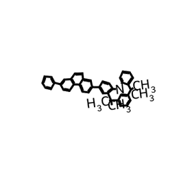 CC1(C)c2ccccc2N2c3ccc(-c4ccc5c(ccc6cc(-c7ccccc7)ccc65)c4)cc3C(C)(C)c3cccc1c32